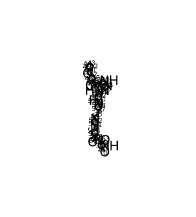 O=C1CCC(N2Cc3cc(N4CCN(CCC5CCN(c6ccc(Nc7ncnc8[nH]cc(C(=O)c9ccc(Oc%10ccccc%10)cc9Cl)c78)cc6F)CC5)CC4)ccc3C2=O)C(=O)N1